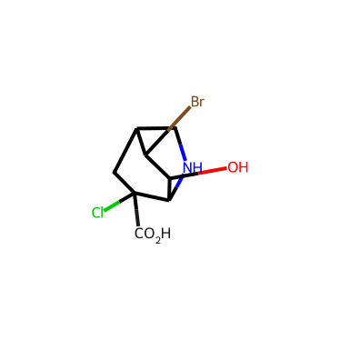 O=C(O)C1(Cl)CC2CNC1C(O)C2Br